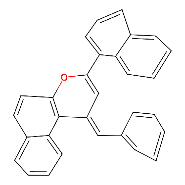 C1=C(c2cccc3ccccc23)Oc2ccc3ccccc3c2/C1=C/c1ccccc1